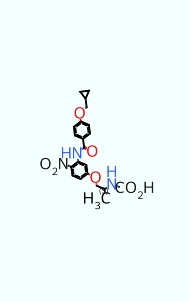 C[C@@H](COc1ccc([N+](=O)[O-])c(NC(=O)c2ccc(OCC3CC3)cc2)c1)NC(=O)O